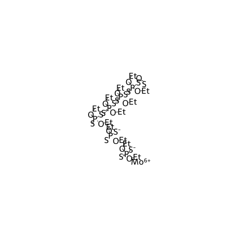 CCOP(=S)([S-])OCC.CCOP(=S)([S-])OCC.CCOP(=S)([S-])OCC.CCOP(=S)([S-])OCC.CCOP(=S)([S-])OCC.CCOP(=S)([S-])OCC.O=S.[Mo+6]